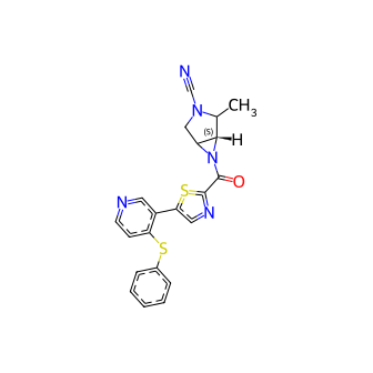 CC1[C@H]2C(CN1C#N)N2C(=O)c1ncc(-c2cnccc2Sc2ccccc2)s1